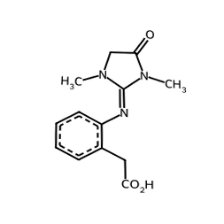 CN1CC(=O)N(C)/C1=N/c1ccccc1CC(=O)O